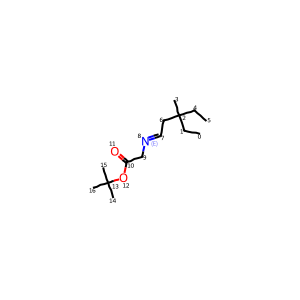 CCC(C)(CC)C/C=N/CC(=O)OC(C)(C)C